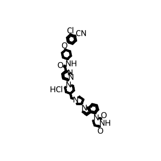 Cl.N#Cc1ccc(OC2CCC(NC(=O)c3ccc(N4CCC(CN5CCC(n6ccc7c(N8CCC(=O)NC8=O)cccc76)C5)CC4)nn3)CC2)cc1Cl